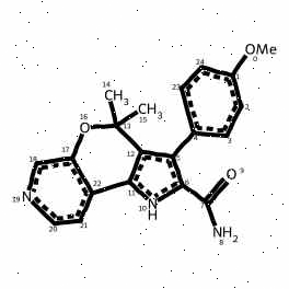 COc1ccc(-c2c(C(N)=O)[nH]c3c2C(C)(C)Oc2cnccc2-3)cc1